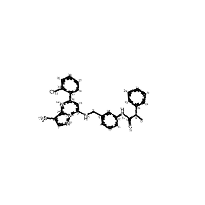 Bc1cnn2c(NCc3cccc(NC(=O)C(C)c4ccccc4)c3)cc(-c3ccccc3Cl)nc12